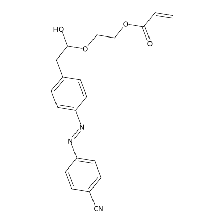 C=CC(=O)OCCOC(O)Cc1ccc(N=Nc2ccc(C#N)cc2)cc1